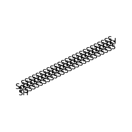 S=S(S)S(=S)(=S)S(=S)(=S)S(=S)(=S)S(=S)(=S)S(=S)(=S)S(=S)(=S)S(=S)(=S)S(=S)(=S)S(=S)(=S)S(=S)(=S)S(=S)(=S)S(=S)(=S)S(=S)(=S)S(=S)(=S)S(=S)(=S)S(=S)(=S)S(=S)(=S)S(=S)(=S)S(=S)(=S)S(=S)(=S)S(=S)(=S)S(=S)(=S)S(=S)(=S)S(=S)(=S)S(=S)(=S)I